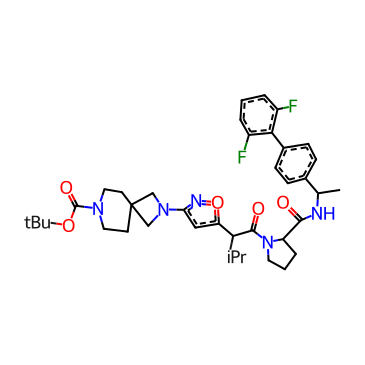 CC(NC(=O)C1CCCN1C(=O)C(c1cc(N2CC3(CCN(C(=O)OC(C)(C)C)CC3)C2)no1)C(C)C)c1ccc(-c2c(F)cccc2F)cc1